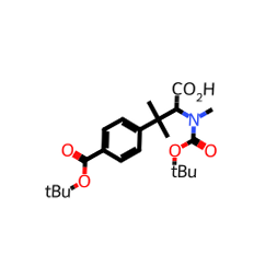 CN(C(=O)OC(C)(C)C)C(C(=O)O)C(C)(C)c1ccc(C(=O)OC(C)(C)C)cc1